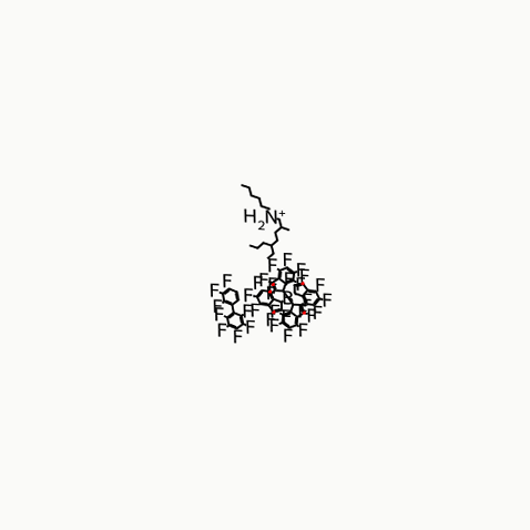 CCCCCC[NH2+]CC(C)CCC(CC)CCC.FC1=C(F)C([B-](C2C(F)=C(F)c3c(F)c(F)c(F)c(F)c32)(C2C(F)=C(F)c3c(F)c(F)c(F)c(F)c32)C2C(F)=C(F)c3c(F)c(F)c(F)c(F)c32)c2c(F)c(F)c(F)c(F)c21.Fc1ccc(-c2c(F)c(F)c(F)c(F)c2F)c(F)c1F